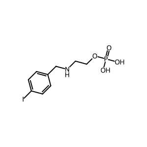 O=P(O)(O)OCCNCc1ccc(I)cc1